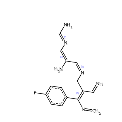 C=N/C(=C(\C=N)C\N=C/C(N)=C\N=C\N)c1ccc(F)cc1